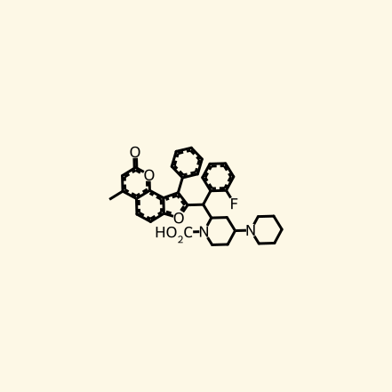 Cc1cc(=O)oc2c1ccc1oc(C(c3ccccc3F)C3CC(N4CCCCC4)CCN3C(=O)O)c(-c3ccccc3)c12